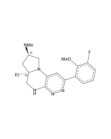 CC[C@@]12CNc3nnc(-c4cccc(F)c4OC)cc3N1C[C@H](NC)C2